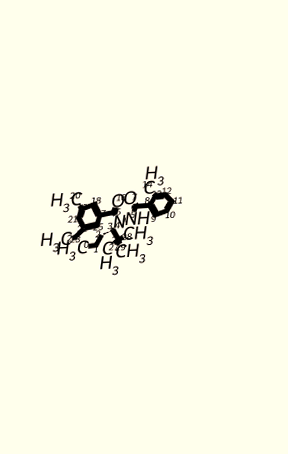 CCC[C@H](N(NC(=O)c1ccccc1C)C(=O)c1cc(C)cc(CC)c1)C(C)(C)C